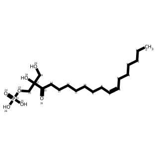 CCCCCC/C=C\CCCCCCCC(=O)C(O)(CO)COP(=O)(O)O